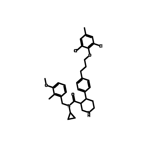 COc1cccc(CN(C(=O)C2CNCCC2c2ccc(CCCOc3c(Cl)cc(C)cc3Cl)cc2)C2CC2)c1C